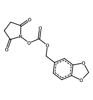 O=C(OCc1ccc2c(c1)OCO2)ON1C(=O)CCC1=O